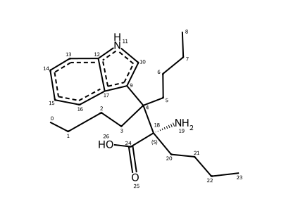 CCCCC(CCCC)(c1c[nH]c2ccccc12)[C@@](N)(CCCC)C(=O)O